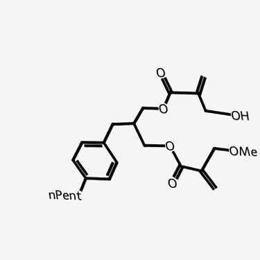 C=C(CO)C(=O)OCC(COC(=O)C(=C)COC)Cc1ccc(CCCCC)cc1